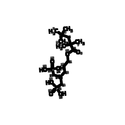 CC(C)(C)CC(C)(C)C(=O)OCCCN(CP(=O)(O)O)CP(=O)(O)O